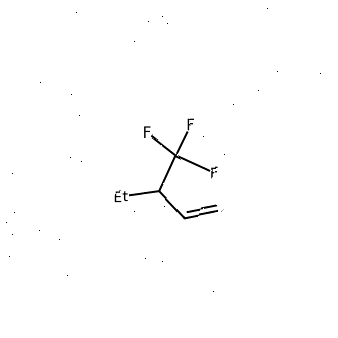 [CH]=CC(CC)C(F)(F)F